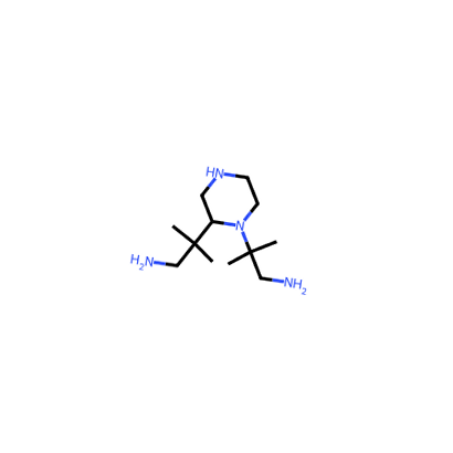 CC(C)(CN)C1CNCCN1C(C)(C)CN